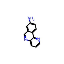 Nc1ccc2c(cnc3cccnc32)c1